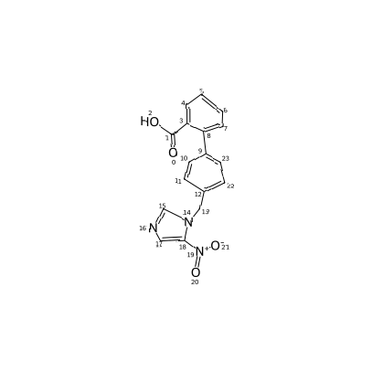 O=C(O)c1ccccc1-c1ccc(Cn2cncc2[N+](=O)[O-])cc1